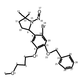 COCCCOc1cc(C2CCC(C)(C)N2N=O)c(Br)cc1OCc1ccccc1